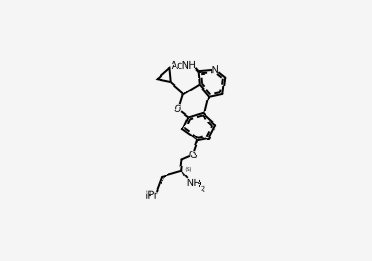 CC(=O)Nc1nccc2c1C(C1CC1)Oc1cc(OC[C@@H](N)CC(C)C)ccc1-2